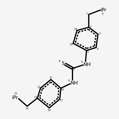 CC(C)Cc1ccc(NC(=S)Nc2ccc(CC(C)C)cc2)cc1